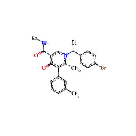 CCNC(=O)c1cn(C(CC)c2ccc(Br)cc2)c(C)c(-c2cccc(C(F)(F)F)c2)c1=O